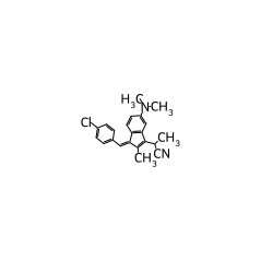 CC1=C(C(C)C#N)c2cc(N(C)C)ccc2C1=Cc1ccc(Cl)cc1